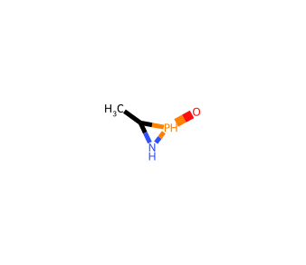 CC1N[PH]1=O